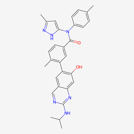 Cc1ccc(N(C(=O)c2ccc(C)c(-c3cc4cnc(NC(C)C)nc4cc3O)c2)c2cc(C)n[nH]2)cc1